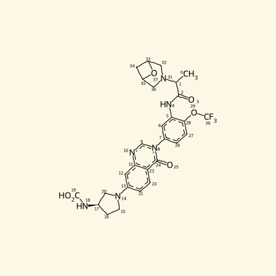 CC(C(=O)Nc1cc(-n2cnc3cc(N4CC[C@@H](NC(=O)O)C4)ccc3c2=O)ccc1OC(F)(F)F)N1CC2CC(C1)O2